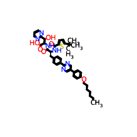 CCCCCCCOc1ccc(-c2cnc(-c3ccc(C[C@H](NC(=O)c4ccc(C(C)(C)C)s4)C(=O)NC(C(=O)O)C(O)c4ncccn4)cc3)nc2)cc1